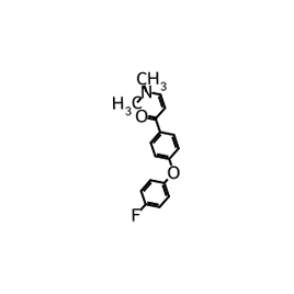 CN(C)/C=C\C(=O)c1ccc(Oc2ccc(F)cc2)cc1